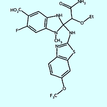 CCOC(C(N)=O)C1(Nc2nc3ccc(OC(F)(F)F)cc3s2)Nc2cc(C(=O)O)c(F)cc2N1C